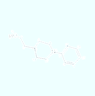 OCCC1CCN(c2[c]cccc2)CC1